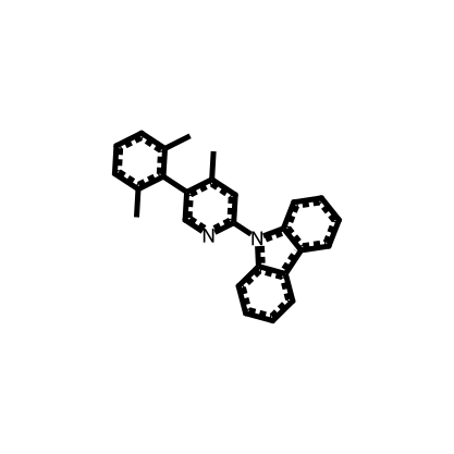 Cc1cc(-n2c3ccccc3c3ccccc32)ncc1-c1c(C)cccc1C